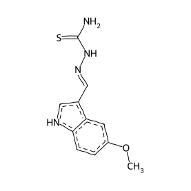 COc1ccc2[nH]cc(/C=N/NC(N)=S)c2c1